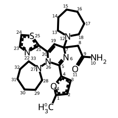 Cc1ccc(C2=NC(CC(N)=O)(N3CCCCCC3)C=C(c3nccs3)N2N2CCCCCC2)o1